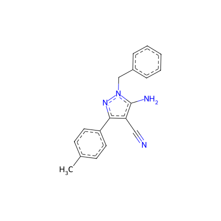 Cc1ccc(-c2nn(Cc3ccccc3)c(N)c2C#N)cc1